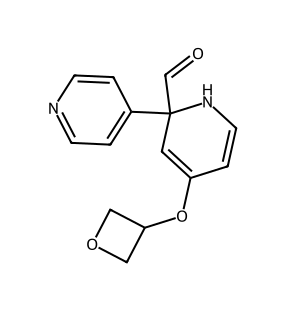 O=CC1(c2ccncc2)C=C(OC2COC2)C=CN1